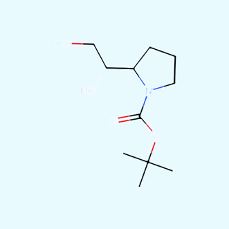 CC(C)(C)OC(=O)N1CCCC1[C@H](O)CO